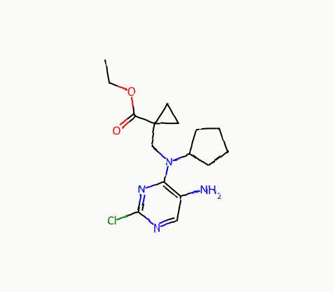 CCOC(=O)C1(CN(c2nc(Cl)ncc2N)C2CCCC2)CC1